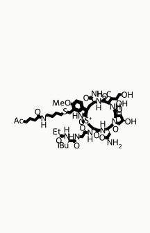 CCC(=O)N[C@H](C(=O)NCC(=O)N[C@H]1C[S+]([O-])c2[nH]c3c(CSCCCCNC(=O)CCCC(C)=O)c(OC)ccc3c2C[C@@H](C(N)=O)NC(=O)[C@H]([C@@H](C)[C@@H](O)CO)NC(=O)[C@@H]2C[C@@H](O)CN2C(=O)[C@H](CC(N)=O)NC1=O)[C@@H](C)CC